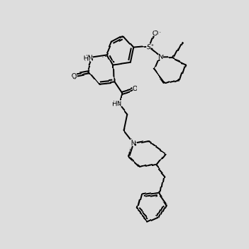 CC1CCCCN1[S+]([O-])c1ccc2[nH]c(=O)cc(C(=O)NCCN3CCC(Cc4ccccc4)CC3)c2c1